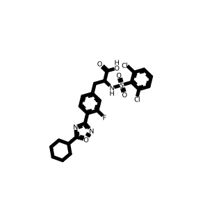 O=C(O)C(Cc1ccc(-c2noc(C3CCCCC3)n2)c(F)c1)NS(=O)(=O)c1c(Cl)cccc1Cl